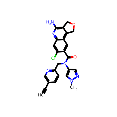 C#Cc1ccc(CN(C(=O)c2cc3c4c(c(N)nc3cc2Cl)COC4)c2cnn(C)c2)nc1